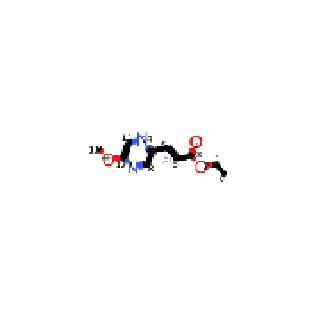 CCOC(=O)/C=C/c1cnc(OC)cn1